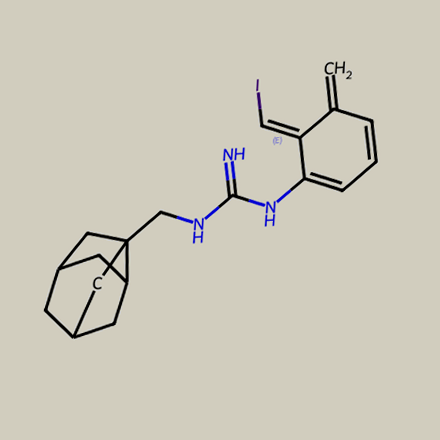 C=c1cccc(NC(=N)NCC23CC4CC(CC2C4)C3)/c1=C/I